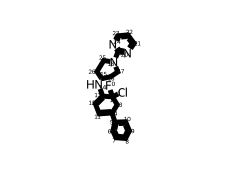 FC1(Cl)CC(c2ccccc2)=CC=C1NC1CCN(c2ncccn2)CC1